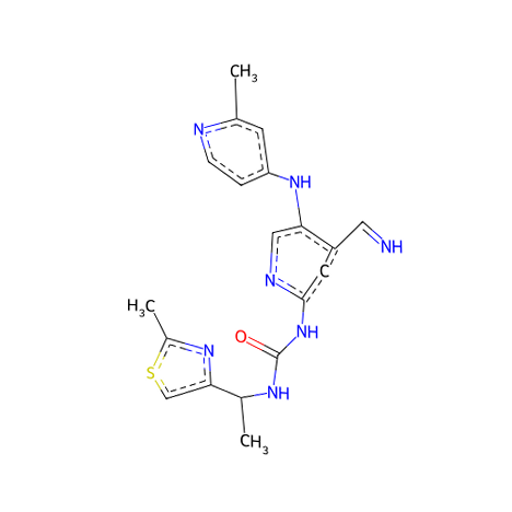 Cc1cc(Nc2cnc(NC(=O)NC(C)c3csc(C)n3)cc2C=N)ccn1